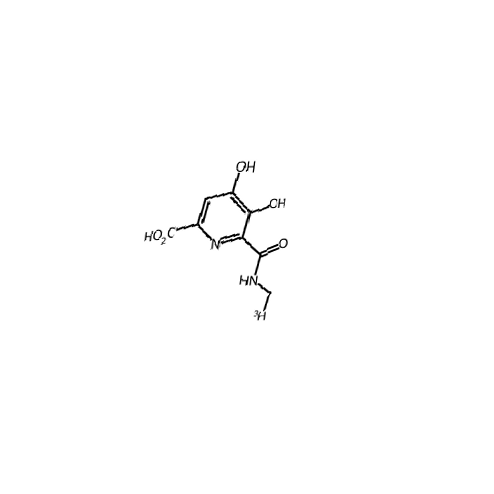 [3H]CNC(=O)c1nc(C(=O)O)cc(O)c1O